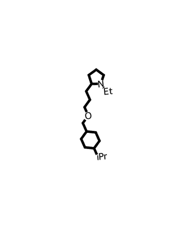 CCN1CCCC1CCCOCC1CCC(C(C)C)CC1